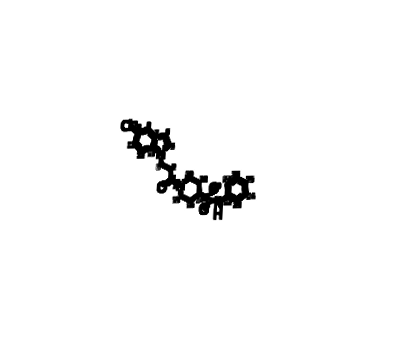 O=C(CCn1ccc2cc(Cl)ccc21)N1CCC(S(=O)(=O)Nc2ccccc2)CC1